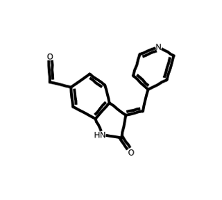 O=Cc1ccc2c(c1)NC(=O)/C2=C/c1ccncc1